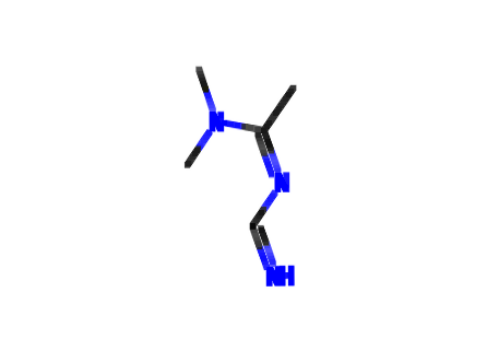 C/C(=N/C=N)N(C)C